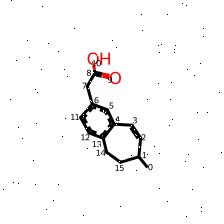 CC1C=Cc2cc(CC(=O)O)ccc2CC1